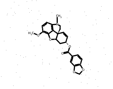 COc1ccc2c3c1OC1C[C@@H](OC(=O)c4ccc5c(c4)OCO5)C=C[C@@]31CCN2C